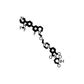 O=C1CCC(N2C(=O)c3ccc(N4CCN(CCOCCN5CCCc6cc(-c7ccc8c9cnccc9n(C(F)F)c8c7)cc(F)c65)CC4)cc3C2=O)C(=O)N1